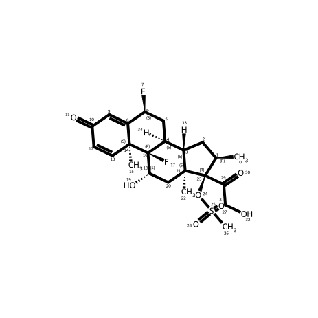 C[C@@H]1C[C@H]2[C@@H]3C[C@H](F)C4=CC(=O)C=C[C@]4(C)[C@@]3(F)[C@@H](O)C[C@]2(C)[C@@]1(OS(C)(=O)=O)C(=O)CO